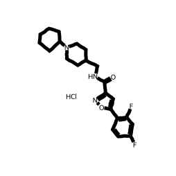 Cl.O=C(NCC1CCN(C2CCCCC2)CC1)c1cc(-c2ccc(F)cc2F)on1